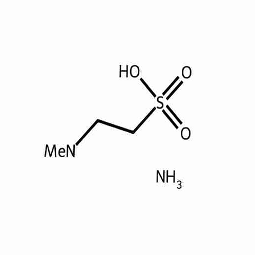 CNCCS(=O)(=O)O.N